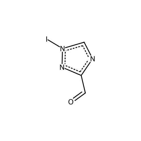 O=Cc1ncn(I)n1